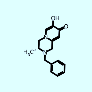 C[C@@H]1Cn2cc(O)c(=O)cc2CN1Cc1ccccc1